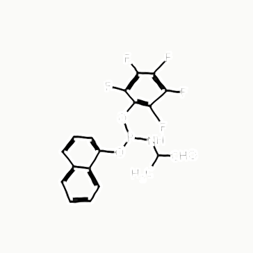 CC(C=O)NP(Oc1c(F)c(F)c(F)c(F)c1F)Oc1cccc2ccccc12